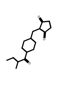 CCC(C)C(=O)C1CCC(CC2C(=O)CCC2=O)CC1